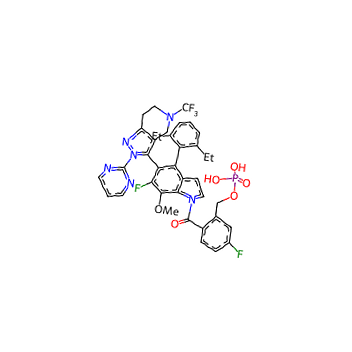 CCc1cccc(CC)c1-c1c(-c2c3c(nn2-c2ncccn2)CCN(C(F)(F)F)C3)c(F)c(OC)c2c1ccn2C(=O)c1ccc(F)cc1COP(=O)(O)O